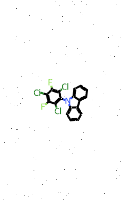 Fc1c(Cl)c(F)c(Cl)c(-n2c3ccccc3c3ccccc32)c1Cl